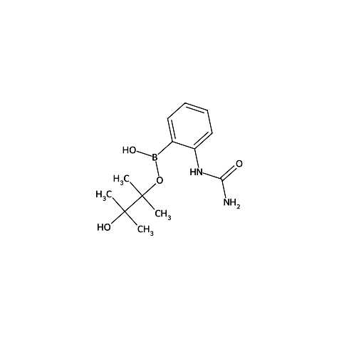 CC(C)(O)C(C)(C)OB(O)c1ccccc1NC(N)=O